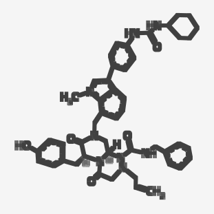 C=CCN1CC(=O)N2[C@@H](Cc3ccc(O)cc3)C(=O)N(Cc3cccc4c(-c5ccc(NC(=O)NC6CCCCC6)cc5)cn(C)c34)C[C@@H]2N1C(=O)NCc1ccccc1